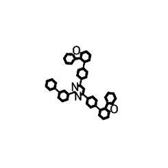 c1ccc(-c2cccc(-c3nc(-c4ccc(-c5cccc6oc7ccccc7c56)cc4)cc(-c4ccc(-c5cccc6oc7ccccc7c56)cc4)n3)c2)cc1